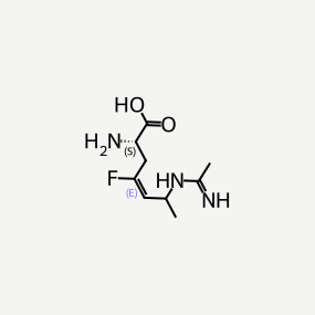 CC(=N)NC(C)/C=C(/F)C[C@H](N)C(=O)O